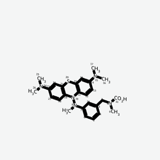 CN(Cc1cccc(N(C)N2c3ccc(N(C)C)cc3Sc3cc(N(C)C)ccc32)c1)C(=O)O